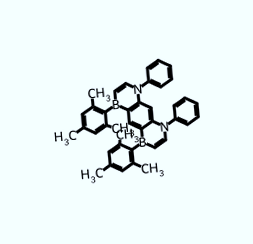 Cc1cc(C)c(B2C=CN(c3ccccc3)c3cc4c(cc32)B(c2c(C)cc(C)cc2C)C=CN4c2ccccc2)c(C)c1